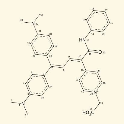 CN(C)c1ccc(C(=C/C=C(/C(=O)Nc2ccccc2)c2cc[n+](CC(=O)O)cc2)c2ccc(N(C)C)cc2)cc1